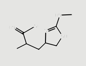 CC(C)NC1=NC(CC(C)C(=N)N)CN1